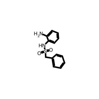 Nc1ccccc1NS(=O)(=O)Cc1ccccc1